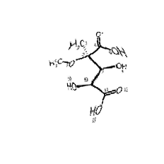 CO[C@@](C)(C(=O)O)[C@@H](O)[C@H](O)C(=O)O